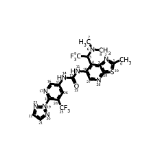 Cc1nc2c(C(N(C)C)C(F)(F)F)c(NC(=O)Nc3cnc(-n4nccn4)c(C(F)(F)F)c3)cnc2s1